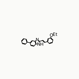 CCOc1cccc(C=Cc2nc3cc(-c4ccccc4)ccc3[nH]2)c1